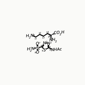 CC(=O)Nc1nnc(S(N)(=O)=O)s1.NCCCC[C@H](N)C(=O)O